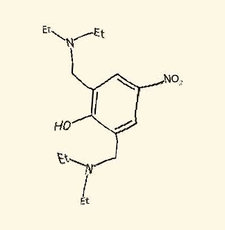 CCN(CC)Cc1cc([N+](=O)[O-])cc(CN(CC)CC)c1O